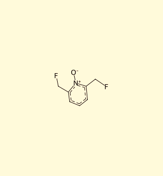 [O-][n+]1c(CF)cccc1CF